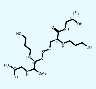 COC(NC[C@H](C)O)[C@@H](NCCCO)SSSC[C@H](NCCCO)C(=O)NC[C@H](C)O